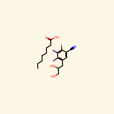 CCCCCCCC(=O)O.N#Cc1cc(CC(O)CO)c(I)c(I)c1I